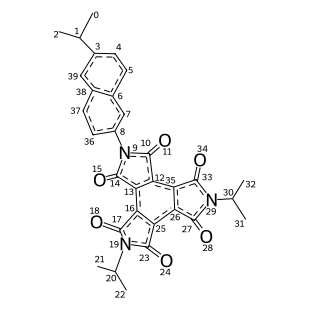 CC(C)c1ccc2cc(-n3c(=O)c4c(c3=O)c3c(=O)n(C(C)C)c(=O)c3c3c(=O)n(C(C)C)c(=O)c43)ccc2c1